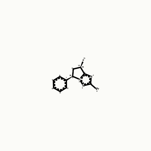 CC(C)c1nc2n(n1)[C@@H](c1ccccc1)C[C@H]2F